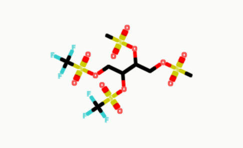 CS(=O)(=O)OCC(OS(C)(=O)=O)C(COS(=O)(=O)C(F)(F)F)OS(=O)(=O)C(F)(F)F